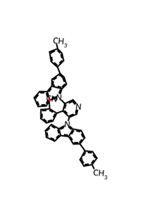 Cc1ccc(-c2ccc3c(c2)c2ccccc2n3-c2cncc(-n3c4ccccc4c4cc(-c5ccc(C)cc5)ccc43)c2-c2ccccc2C#N)cc1